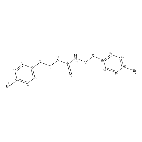 O=C(NCCc1ccc(Br)cc1)NCCc1ccc(Br)cc1